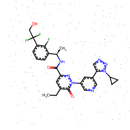 CCc1cc(C(=O)N[C@H](C)c2cccc(C(F)(F)CO)c2F)nn(-c2cncc(-c3cnnn3C3CC3)c2)c1=O